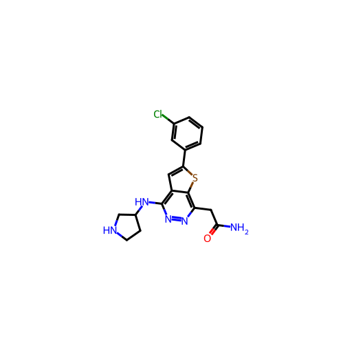 NC(=O)Cc1nnc(NC2CCNC2)c2cc(-c3cccc(Cl)c3)sc12